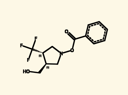 O=C(ON1C[C@@H](CO)[C@H](C(F)(F)F)C1)c1ccccc1